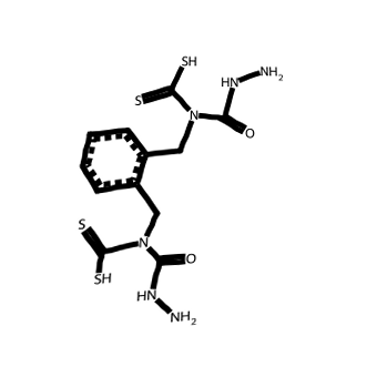 NNC(=O)N(Cc1ccccc1CN(C(=O)NN)C(=S)S)C(=S)S